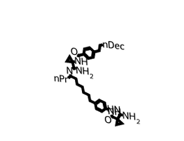 CCCCCCCCCCCCc1ccc(C(=O)NC2(/C(N)=N/C(CCC)CCCCCCc3ccc(NC(=O)C4(C(=N)N)CC4)cc3)CC2)cc1